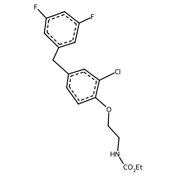 CCOC(=O)NCCOc1ccc(Cc2cc(F)cc(F)c2)cc1Cl